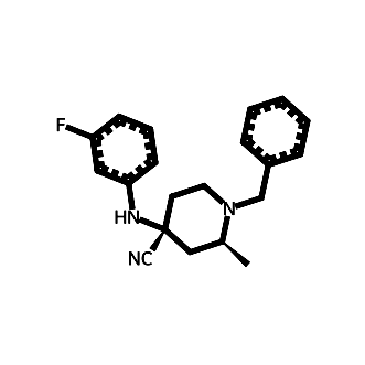 C[C@H]1C[C@](C#N)(Nc2cccc(F)c2)CCN1Cc1ccccc1